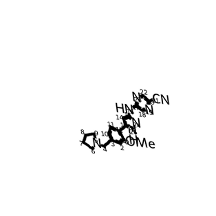 COc1cc(CN2CCCC2)ccc1-c1cc(Nc2cnc(C#N)cn2)n[nH]1